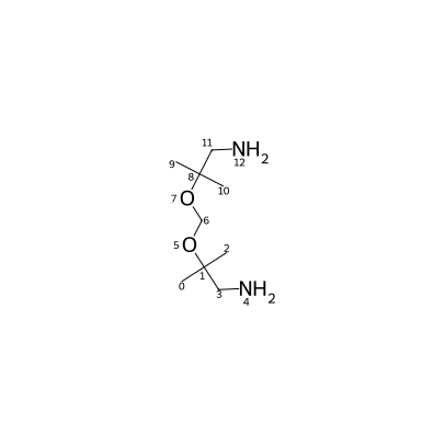 CC(C)(CN)OCOC(C)(C)CN